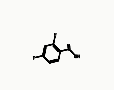 ONc1ccc(F)cc1F